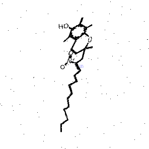 CCCCCCCCCC/C=C(/CC1(C)CCc2c(C)c(O)c(C)c(C)c2O1)[N+](=O)[O-]